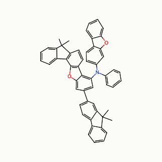 CC1(C)c2ccccc2-c2ccc(-c3cc(N(c4ccccc4)c4ccc5c(c4)oc4ccccc45)c4c(c3)oc3c5c(ccc34)C(C)(C)c3ccccc3-5)cc21